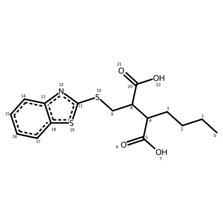 CCCCC(C(=O)O)C(CSc1nc2ccccc2s1)C(=O)O